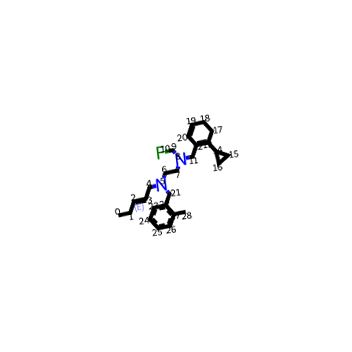 CC/C=C/CN(CCN(CF)CC1=C(C2CC2)CCC=C1)Cc1ccccc1C